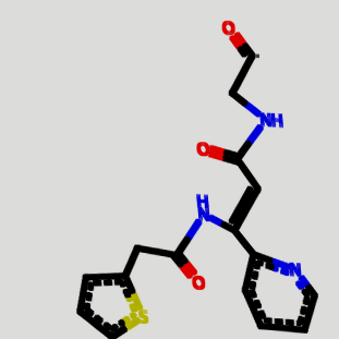 O=[C]CNC(=O)C=C(NC(=O)Cc1cccs1)c1ccccn1